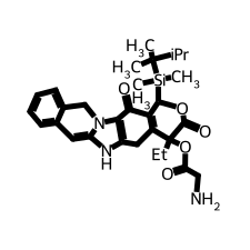 CCC1(OC(=O)CN)C(=O)OC([Si](C)(C)C(C)(C)C(C)C)C2=C1CC1=C(C2=O)N2Cc3ccccc3C=C2N1